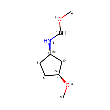 COBN[C@@H]1CC[C@H](OC)C1